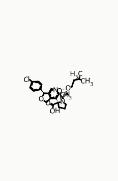 Cc1ncc2c(c1[C@@]1(C(=O)O)CCCN1[N+]([O-])=NOCCC(C)C)CO[C@H]2c1ccc(Cl)cc1